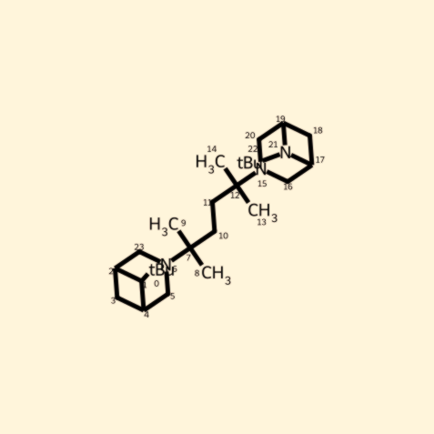 CC(C)(C)C1C2CC1CN(C(C)(C)CCC(C)(C)N1CC3CC(C1)N3C(C)(C)C)C2